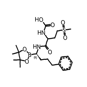 CC1(C)OB([C@H](CCCc2ccccc2)NC(=O)C(CCS(C)(=O)=O)NC(=O)O)OC1(C)C